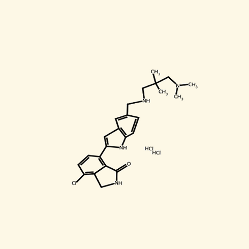 CN(C)CC(C)(C)CNCc1ccc2[nH]c(-c3ccc(Cl)c4c3C(=O)NC4)cc2c1.Cl.Cl